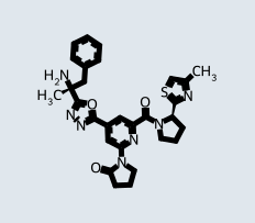 Cc1csc([C@H]2CCCN2C(=O)c2cc(-c3nnc([C@](C)(N)Cc4ccccc4)o3)cc(N3CCCC3=O)n2)n1